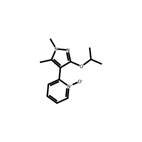 Cc1c(-c2cccc[n+]2[O-])c(OC(C)C)nn1C